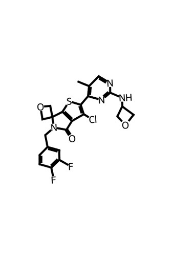 Cc1cnc(NC2COC2)nc1-c1sc2c(c1Cl)C(=O)N(Cc1ccc(F)c(F)c1)C21COC1